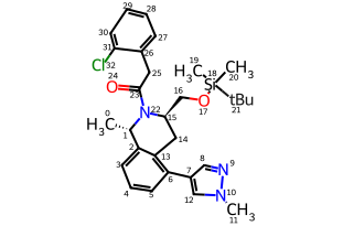 C[C@H]1c2cccc(-c3cnn(C)c3)c2C[C@H](CO[Si](C)(C)C(C)(C)C)N1C(=O)Cc1ccccc1Cl